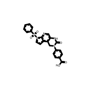 O=C(O)c1ccc(N2Cc3c(cnc4c3ccn4S(=O)(=O)c3ccccc3)NC2=O)cc1